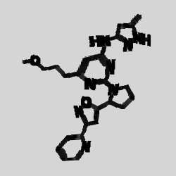 COCCCc1cc(Nc2cc(C)[nH]n2)nc(N2CCCC2c2cc(-c3ccccn3)no2)n1